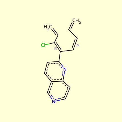 C=C/C=C\C(=C(\Cl)C=C)c1ccc2cnccc2n1